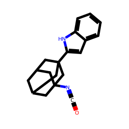 O=C=NC12CC3CC(C1)CC(c1cc4ccccc4[nH]1)(C3)C2